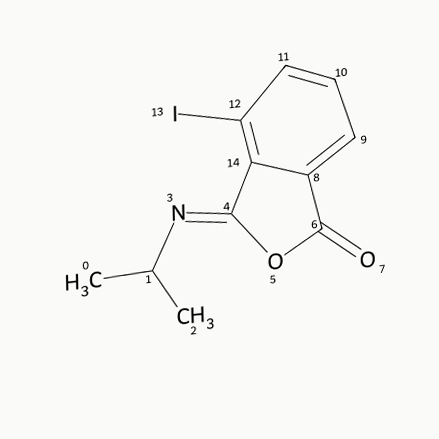 CC(C)/N=C1\OC(=O)c2cccc(I)c21